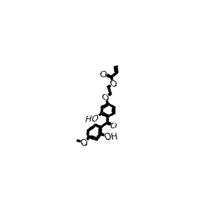 C=CC(=O)OCCOc1ccc(C(=O)c2ccc(OC)cc2O)c(O)c1